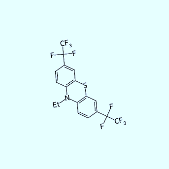 CCN1c2ccc(C(F)(F)C(F)(F)F)cc2Sc2cc(C(F)(F)C(F)(F)F)ccc21